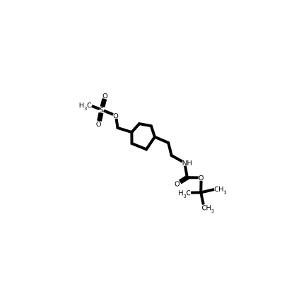 CC(C)(C)OC(=O)NCCC1CCC(COS(C)(=O)=O)CC1